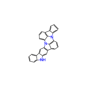 c1ccc2c(c1)[nH]c1cc3c4cccc5c4n(c3cc12)c1cccc2c3ccccc3n5c21